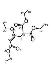 CCOC(=O)/C=C(\CC(C(=O)OCC)C(=O)OCC)OCC